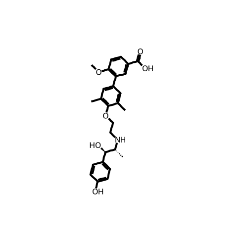 COc1ccc(C(=O)O)cc1-c1cc(C)c(OCCN[C@H](C)[C@H](O)c2ccc(O)cc2)c(C)c1